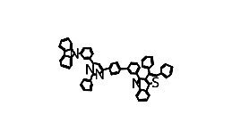 c1ccc(-c2nc(-c3ccc(-c4cccc(-c5nc6ccccc6c6sc(-c7ccccc7)c(-c7ccccc7)c56)c4)cc3)cc(-c3cccc(-n4c5ccccc5c5ccccc54)c3)n2)cc1